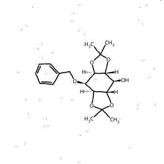 CC1(C)O[C@@H]2[C@H](OCc3ccccc3)[C@@H]3OC(C)(C)O[C@H]3[C@H](O)[C@H]2O1